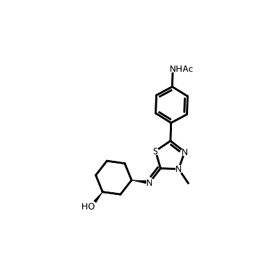 CC(=O)Nc1ccc(-c2nn(C)c(=N[C@@H]3CCC[C@H](O)C3)s2)cc1